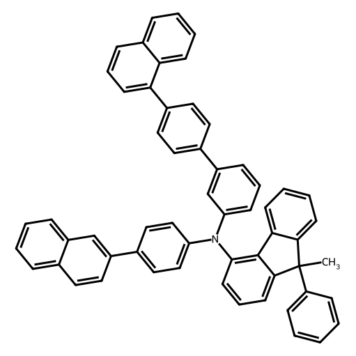 CC1(c2ccccc2)c2ccccc2-c2c(N(c3ccc(-c4ccc5ccccc5c4)cc3)c3cccc(-c4ccc(-c5cccc6ccccc56)cc4)c3)cccc21